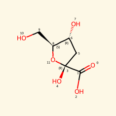 O=C(O)[C@@]1(O)C[C@@H](O)[C@H](CO)O1